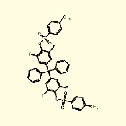 Cc1ccc(S(=O)(=O)Oc2c(F)cc(C(c3ccccc3)(c3ccccc3)c3cc(F)c(OS(=O)(=O)c4ccc(C)cc4)c(F)c3)cc2F)cc1